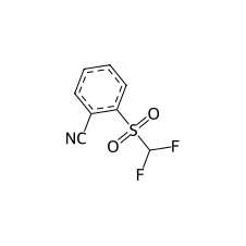 N#Cc1ccccc1S(=O)(=O)C(F)F